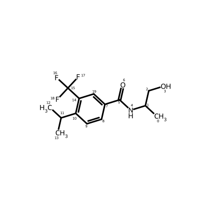 CC(CO)NC(=O)c1ccc(C(C)C)c(C(F)(F)F)c1